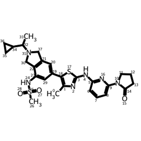 Cc1nc(Nc2cccc(N3CCCC3=O)n2)sc1-c1cc2c(c(NS(C)(=O)=O)c1)CN(C(C)C1CC1)C2